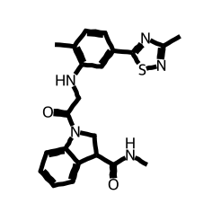 CNC(=O)C1CN(C(=O)CNc2cc(-c3nc(C)ns3)ccc2C)c2ccccc21